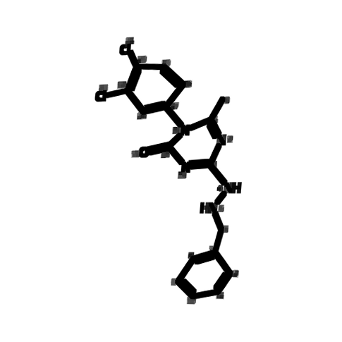 Cc1nc(NNCc2ccccc2)nc(=O)n1-c1ccc(Cl)c(Cl)c1